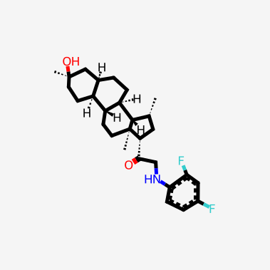 C[C@@H]1C[C@H](C(=O)CNc2ccc(F)cc2F)[C@@]2(C)CC[C@H]3[C@@H](CC[C@@H]4C[C@](C)(O)CC[C@@H]43)[C@H]12